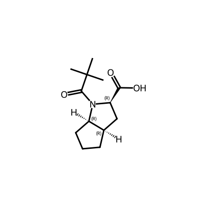 CC(C)(C)C(=O)N1[C@@H](C(=O)O)C[C@H]2CCC[C@H]21